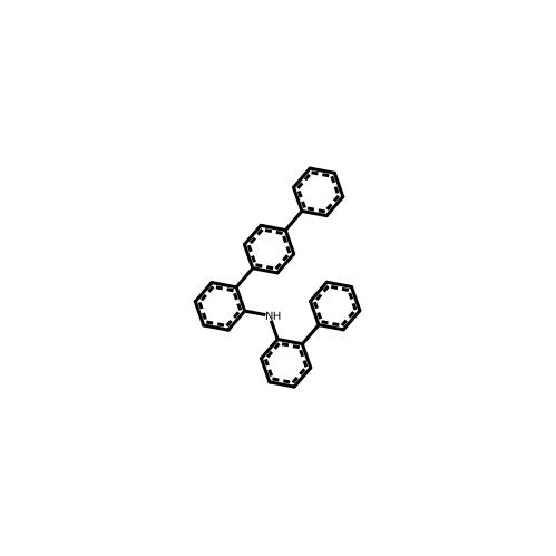 c1ccc(-c2ccc(-c3ccccc3Nc3ccccc3-c3ccccc3)cc2)cc1